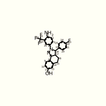 Nc1ccc(N2N=C3c4ccc(O)cc4CCC3C2c2ccc(F)cc2)cc1C(F)(F)F